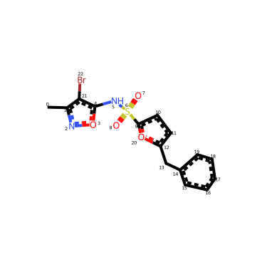 Cc1noc(NS(=O)(=O)c2ccc(Cc3ccccc3)o2)c1Br